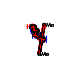 COCCOCCOCCOCCOCCOCCOCCOCCNC(=O)c1cc(N2C(=O)C=CC2=O)cc(C(=O)NCCOCCOCCOCCOCCOCCOCCOCCOC)c1OCCCC(=O)NCC(=O)NCC(=O)N[C@@H](Cc1ccccc1)C(=O)NCC(=O)NCO[C@H](C(=O)NCc1c2c(nc3cc(F)c(C)cc13)-c1cc3c(c(=O)n1C2)COC(=O)[C@]3(O)CC1CC1)C1CC1